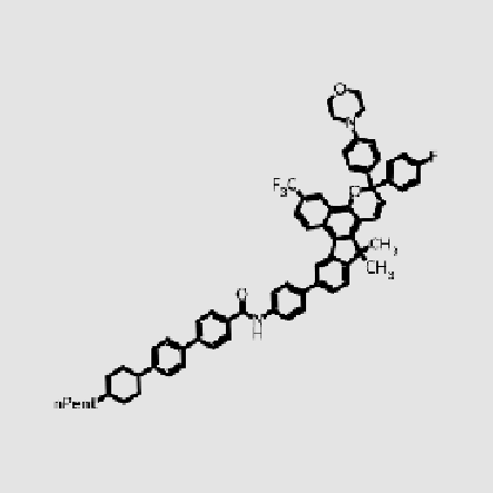 CCCCCC1CCC(c2ccc(-c3ccc(C(=O)Nc4ccc(-c5ccc6c(c5)-c5c(c7c(c8cc(C(F)(F)F)ccc58)OC(c5ccc(F)cc5)(c5ccc(N8CCOCC8)cc5)C=C7)C6(C)C)cc4)cc3)cc2)CC1